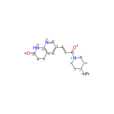 CCCC1CCN(C(=O)C=Cc2cnc3c(c2)CCC(=O)N3)CC1